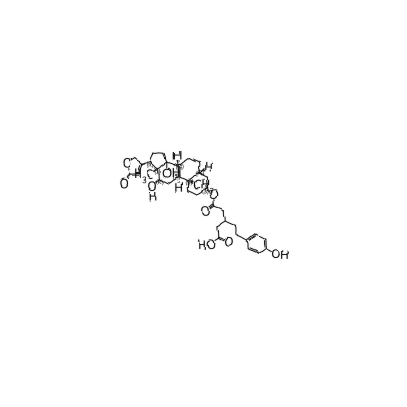 C[C@]12CC[C@H](OC(=O)CC(CCc3ccc(O)cc3)CC(=O)O)C[C@H]1CC[C@@H]1[C@@H]2C[C@@H](O)[C@]2(C)[C@@H](C3=CC(=O)OC3)CCC12O